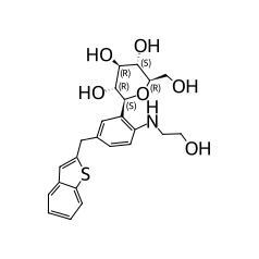 OCCNc1ccc(Cc2cc3ccccc3s2)cc1[C@@H]1O[C@H](CO)[C@@H](O)[C@H](O)[C@H]1O